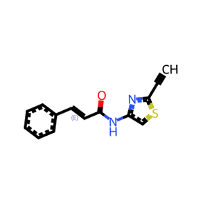 C#Cc1nc(NC(=O)/C=C/c2ccccc2)cs1